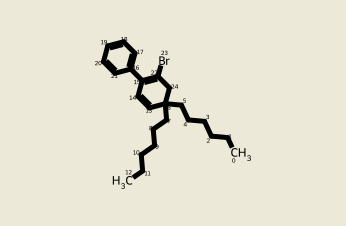 CCCCCCC1(CCCCCC)C=CC(c2ccccc2)=C(Br)C1